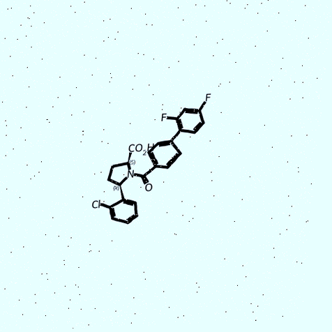 O=C(O)[C@@H]1CC[C@H](c2ccccc2Cl)N1C(=O)c1ccc(-c2ccc(F)cc2F)cc1